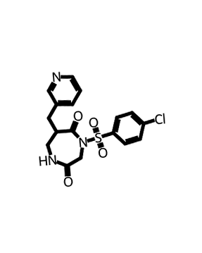 O=C1CN(S(=O)(=O)c2ccc(Cl)cc2)C(=O)C(Cc2cccnc2)CN1